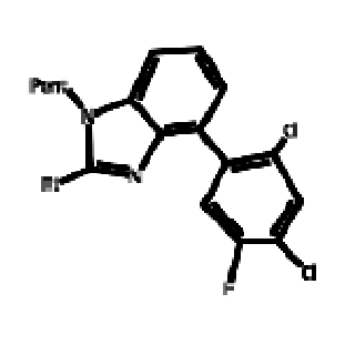 CCCC(C)n1c(CC)nc2c(-c3cc(F)c(Cl)cc3Cl)cccc21